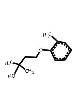 Cc1ccccc1OCCC(C)(C)O